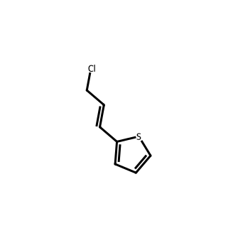 ClC/C=C/c1cccs1